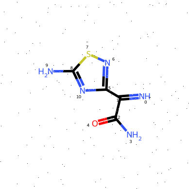 N=C(C(N)=O)c1nsc(N)n1